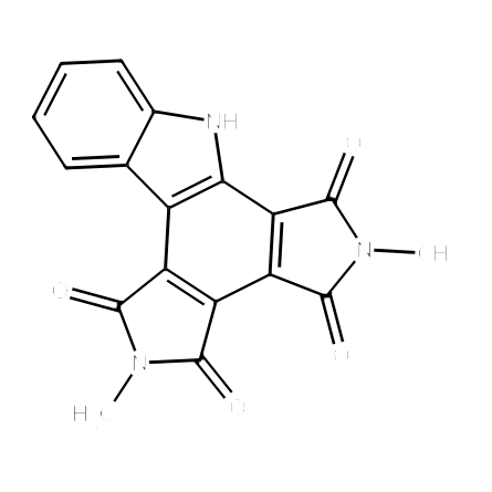 Cn1c(=O)c2c3[nH]c4ccccc4c3c3c(=O)n(C)c(=O)c3c2c1=O